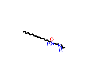 CCCCCCCCCCCCCCCC(=O)NCCCNCCC